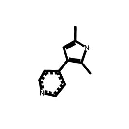 CC1=CC(c2ccncc2)=C(C)[N]1